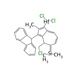 CC1=[C]([Hf]([Cl])[Cl])C2=CC=CC(=[Si](C)C)C(CCl)C2=C1C1c2ccccc2-c2ccccc21